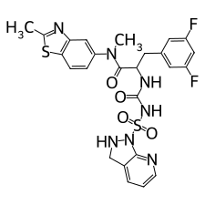 Cc1nc2cc(N(C)C(=O)C(Cc3cc(F)cc(F)c3)NC(=O)NS(=O)(=O)N3NCc4cccnc43)ccc2s1